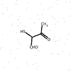 CC(=O)C(S)[C]=O